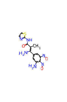 C/C(C(=O)Nc1nccs1)=C(/N)c1cc(N)c(N=O)c(N=O)c1